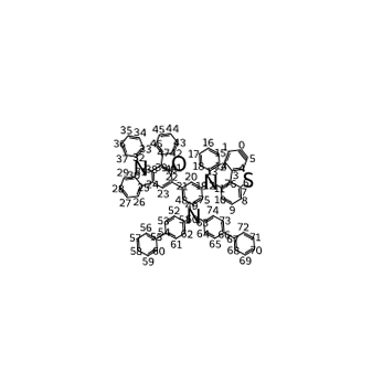 c1ccc2c(c#1)sc1cccc(N(c3ccccc3)c3cc(-c4cc5c6ccccc6n(-c6ccccc6)c5c5c4oc4ccccc45)cc(N(c4ccc(-c5ccccc5)cc4)c4ccc(-c5ccccc5)cc4)c3)c12